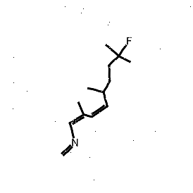 C=N/C=C(C)\C=C/C(C)CCC(C)(C)F